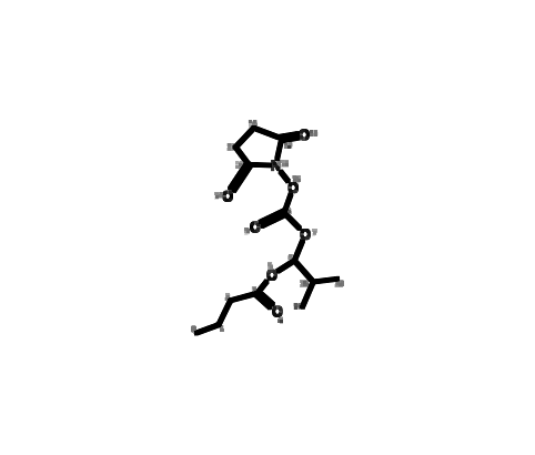 CCCC(=O)OC(OC(=O)ON1C(=O)CCC1=O)C(C)C